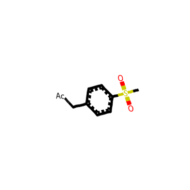 CC(=O)Cc1ccc(S(C)(=O)=O)cc1